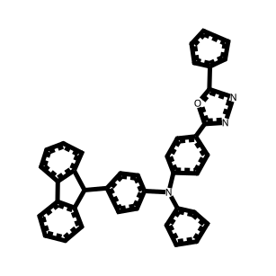 c1ccc(-c2nnc(-c3ccc(N(c4ccccc4)c4ccc(C5c6ccccc6-c6ccccc65)cc4)cc3)o2)cc1